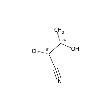 C[C@H](O)[C@@H](Cl)C#N